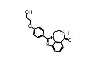 O=C1NCCn2c(-c3ccc(OCCO)cc3)nc3cccc1c32